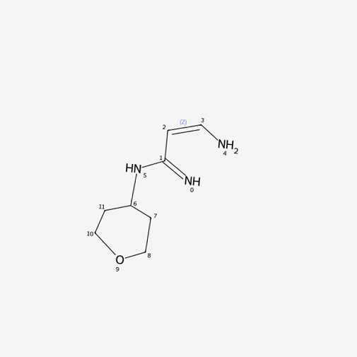 N=C(/C=C\N)NC1CCOCC1